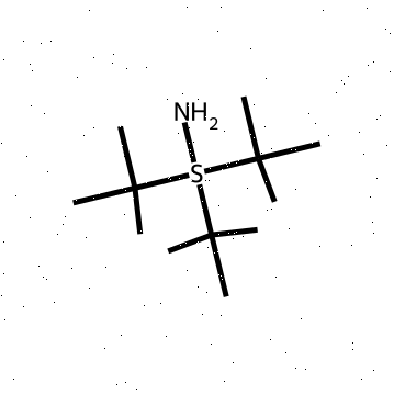 CC(C)(C)S(N)(C(C)(C)C)C(C)(C)C